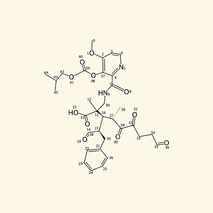 COc1ccnc(C(=O)NCC(C)(C(=O)O)[C@H]([C@H](C=O)Cc2ccccc2)[C@H](C)C(=O)C(=O)CCC=O)c1OC(=O)OCC(C)C